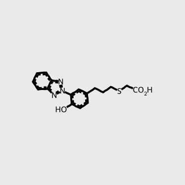 O=C(O)CSCCCc1ccc(O)c(-n2nc3ccccc3n2)c1